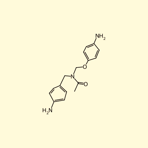 CC(=O)N(COc1ccc(N)cc1)Cc1ccc(N)cc1